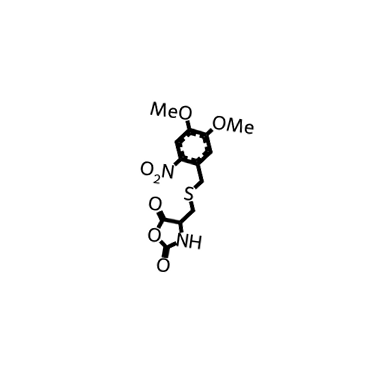 COc1cc(CSCC2NC(=O)OC2=O)c([N+](=O)[O-])cc1OC